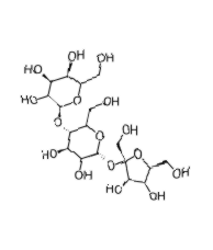 OCC1O[C@H](O[C@]2(CO)O[C@@H](CO)C(O)[C@H]2O)C(O)[C@@H](O)[C@@H]1O[C@@H]1OC(CO)[C@H](O)[C@H](O)C1O